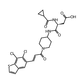 O=C(O)C[C@H](NC(=O)C1CC1)C(=O)NC1CCN(C(=O)/C=C/c2cc3ccsc3c(Cl)c2Cl)CC1